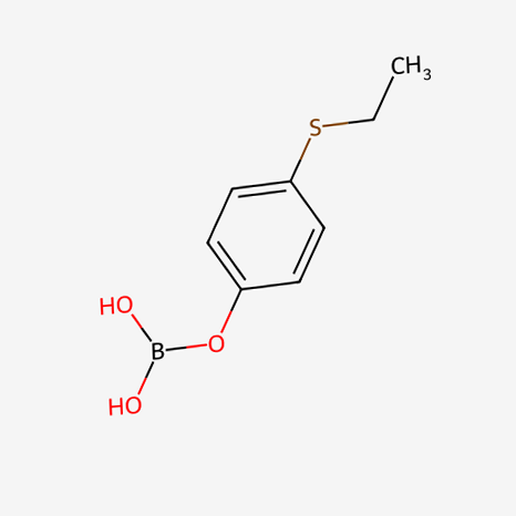 CCSc1ccc(OB(O)O)cc1